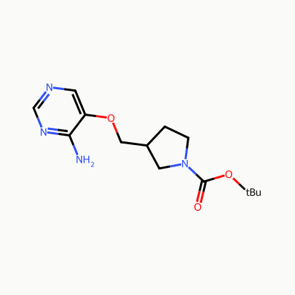 CC(C)(C)OC(=O)N1CCC(COc2cncnc2N)C1